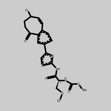 CCOC[C@H](NC(=O)OC(C)(C)C)C(=O)Nc1nc(-c2ccc3c(c2)C(=O)CCC(CC)/C=C\3)cs1